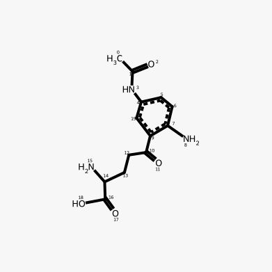 CC(=O)Nc1ccc(N)c(C(=O)CCC(N)C(=O)O)c1